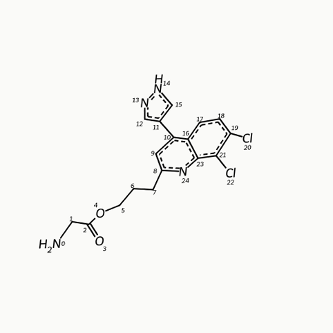 NCC(=O)OCCCc1cc(-c2cn[nH]c2)c2ccc(Cl)c(Cl)c2n1